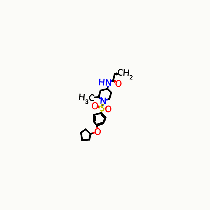 C=CC(=O)NC1CCN(S(=O)(=O)c2ccc(OC3CCCC3)cc2)C(C)C1